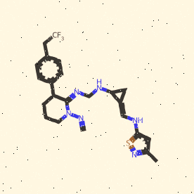 C=NN1CCCC(c2ccc(CC(F)(F)F)cc2)/C1=N/CNC1C/C1=C\Nc1cc(C)ns1